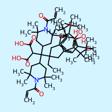 C=CC(=O)N1C(C)(C)CC(C(C2CC(C)(C)N(C(=O)C=C)C(C)(C)C2)(C(C(=O)O)C(=O)O)C(CC)(Cc2cc(C(C)(C)C)c(O)c(C(C)(C)C)c2)Cc2cc(C(C)(C)C)c(O)c(C(C)(C)C)c2)CC1(C)C